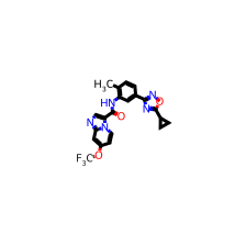 Cc1ccc(-c2noc(C3CC3)n2)cc1NC(=O)c1cnc2cc(OC(F)(F)F)ccn12